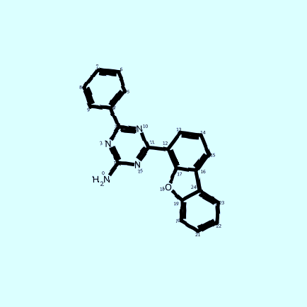 Nc1nc(-c2ccccc2)nc(-c2cccc3c2oc2ccccc23)n1